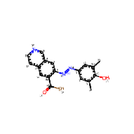 Cc1cc(/N=N/c2cc3cnccc3cc2C(=O)S)cc(C)c1O